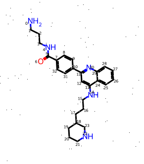 NCCCNC(=O)c1ccc(-c2cc(NCCCC3CCCNC3)c3ccccc3n2)cc1